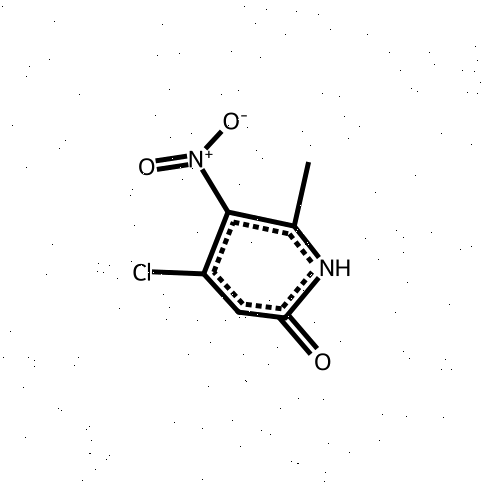 Cc1[nH]c(=O)cc(Cl)c1[N+](=O)[O-]